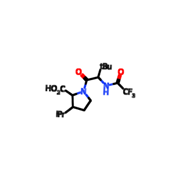 CC(C)C1CCN(C(=O)C(NC(=O)C(F)(F)F)C(C)(C)C)C1C(=O)O